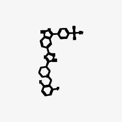 CC(C)S(=O)(=O)c1ccc(-c2n[nH]c3ccc(-c4n[nH]c([C@@H]5CCCN(Cc6c(F)cccc6F)C5)n4)cc23)cc1